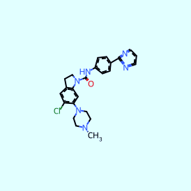 CN1CCN(c2cc3c(cc2Cl)CCN3C(=O)Nc2ccc(-c3ncccn3)cc2)CC1